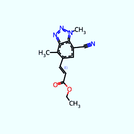 CCOC(=O)/C=C/c1cc(C#N)c2c(nnn2C)c1C